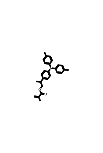 C=C(C)C(=O)OCC(C)c1ccc(N(c2ccc(C)cc2)c2ccc(C)cc2)cc1